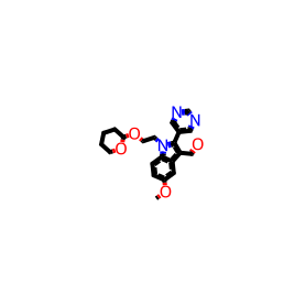 COc1ccc2c(c1)c(C=O)c(-c1cncnc1)n2CCOC1CCCCO1